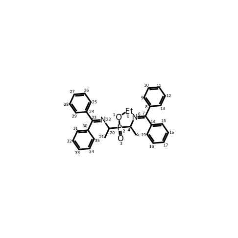 CCOP(=O)(C(C)N=C(c1ccccc1)c1ccccc1)C(C)N=C(c1ccccc1)c1ccccc1